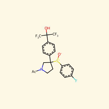 CC(=O)N1CCC(c2ccc(C(O)(C(F)(F)F)C(F)(F)F)cc2)([S+]([O-])c2ccc(F)cc2)C1